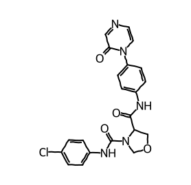 O=C(Nc1ccc(-n2ccncc2=O)cc1)C1COCN1C(=O)Nc1ccc(Cl)cc1